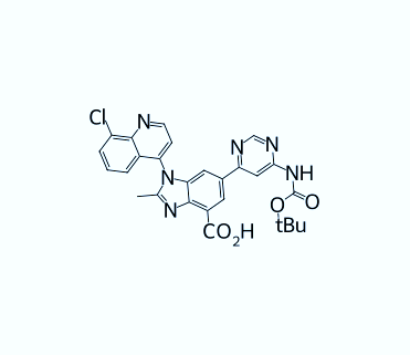 Cc1nc2c(C(=O)O)cc(-c3cc(NC(=O)OC(C)(C)C)ncn3)cc2n1-c1ccnc2c(Cl)cccc12